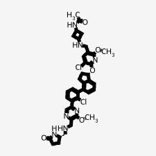 COc1nc(O[C@H]2CCc3c(-c4cccc(-c5cnc(CNC[C@@H]6CCC(=O)N6)c(OC)n5)c4Cl)cccc32)c(Cl)cc1CNC1CC(NC(C)=O)C1